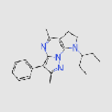 CCC(CC)N1CCc2c(C)nc3c(-c4ccccc4)c(C)nn3c21